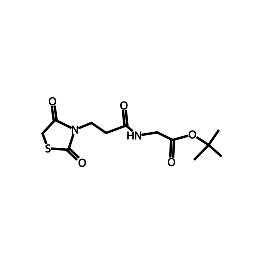 CC(C)(C)OC(=O)CNC(=O)CCN1C(=O)CSC1=O